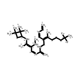 C=C/N=C\C(CNC(=C)/N=C\C(NC)=C(/C)NC1CC(C)(C)C1(C)C)=C(/C)CCCC(C)(F)F